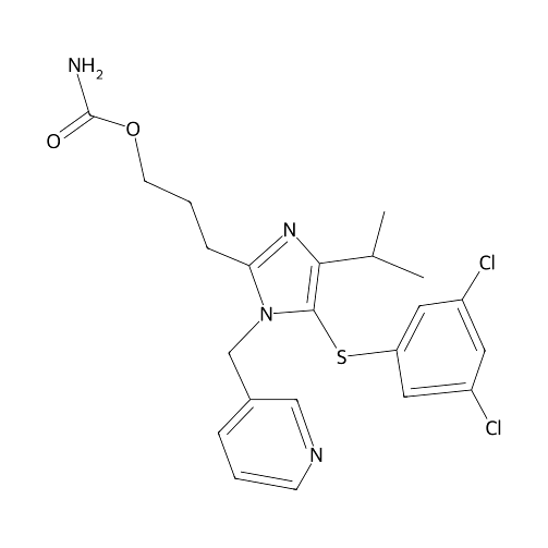 CC(C)c1nc(CCCOC(N)=O)n(Cc2cccnc2)c1Sc1cc(Cl)cc(Cl)c1